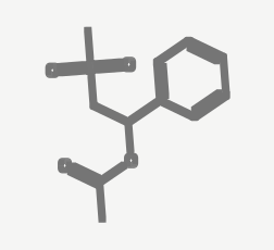 CC(=O)OC(CS(C)(=O)=O)c1ccccc1